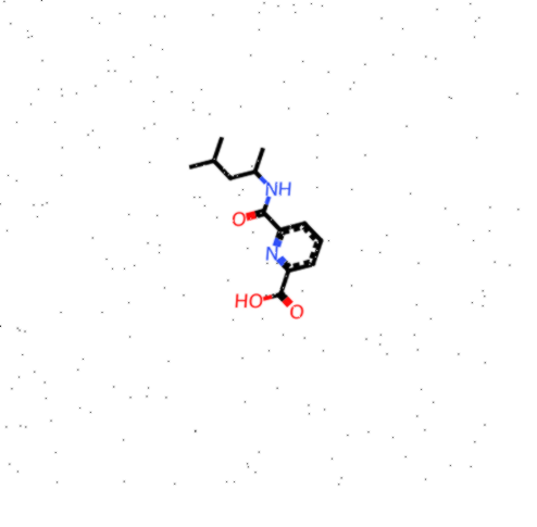 CC(C)CC(C)NC(=O)c1cccc(C(=O)O)n1